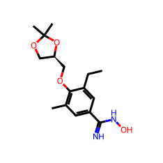 CCc1cc(C(=N)NO)cc(C)c1OC[C@H]1COC(C)(C)O1